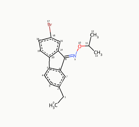 CCc1ccc2c(c1)/C(=N/OC(C)C)c1cc(Br)ccc1-2